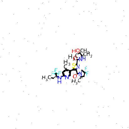 CC[C@H](Nc1cc(C)c(-c2sc(C(=O)N[C@@H](C)C(C)(C)O)nc2C(=O)N2CC(F)(F)C[C@@H]2C)cn1)C(F)(F)F